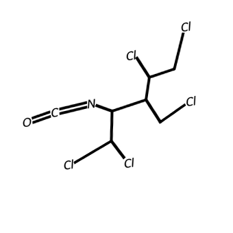 O=C=NC(C(Cl)Cl)C(CCl)C(Cl)CCl